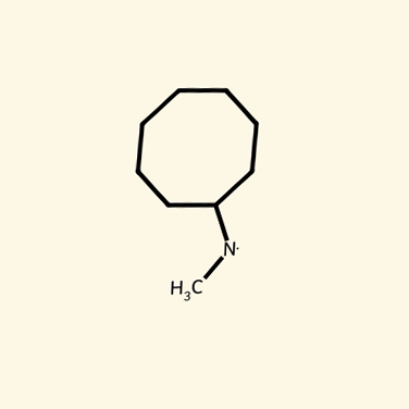 C[N]C1CCCCCCC1